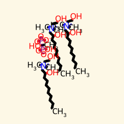 CC(O)(P(=O)([O-])[O-])P(=O)([O-])O.CCCCCCCCCCC(O)C[N+](C)(C)CCO.CCCCCCCCCCC(O)C[N+](C)(C)CCO.CCCCCCCCCCC(O)C[N+](C)(C)CCO